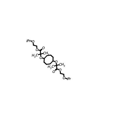 CC(C)OCCOC(=O)C(C)(C)OC1CCCC(OC(C)(C)C(=O)OCCOC(C)C)CCC1